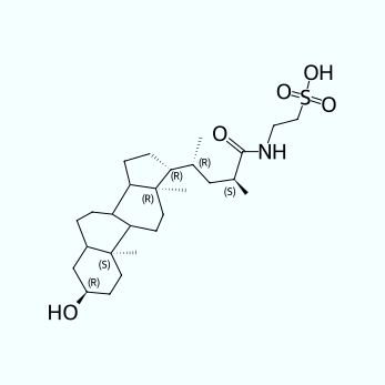 C[C@H](C[C@H](C)C(=O)NCCS(=O)(=O)O)[C@H]1CCC2C3CCC4C[C@H](O)CC[C@]4(C)C3CC[C@@]21C